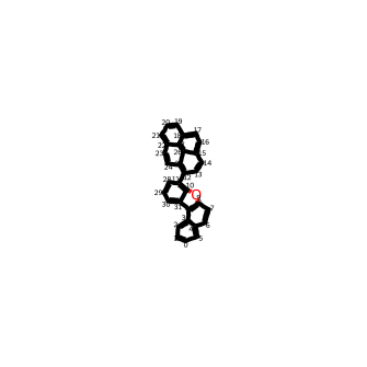 c1ccc2c(c1)ccc1oc3c(-c4ccc5ccc6cccc7ccc4c5c67)cccc3c12